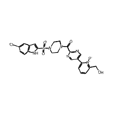 O=C(c1ncc(-c2cccc(CO)[n+]2[O-])cn1)N1CCN(S(=O)(=O)c2cc3cc(Cl)ccc3[nH]2)CC1